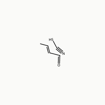 CC=CC=O.N#CS